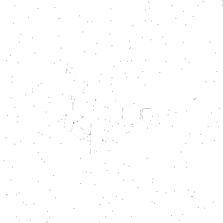 CC(C)(OCc1ccc2c(c1)OCO2)/C(=N/C#N)NC1C2CC3CC1CC(C(=O)O)(C3)C2